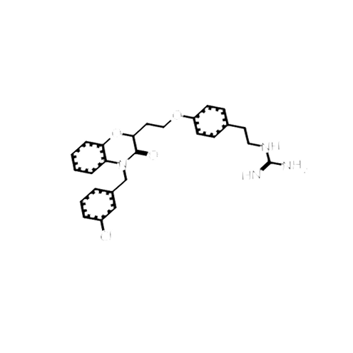 N=C(N)NCCc1ccc(OCCC2Oc3ccccc3N(Cc3cccc(Cl)c3)C2=O)cc1